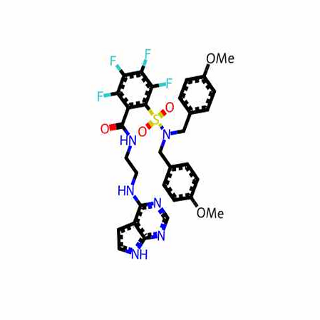 COc1ccc(CN(Cc2ccc(OC)cc2)S(=O)(=O)c2c(F)c(F)c(F)c(F)c2C(=O)NCCNc2ncnc3[nH]ccc23)cc1